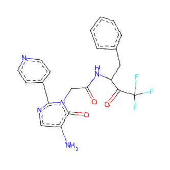 Nc1cnc(-c2ccncc2)n(CC(=O)NC(Cc2ccccc2)C(=O)C(F)(F)F)c1=O